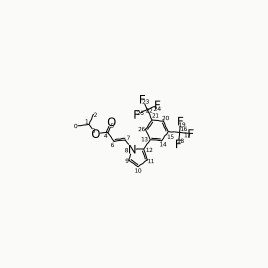 CC(C)OC(=O)/C=C/n1cccc1-c1cc(C(F)(F)F)cc(C(F)(F)F)c1